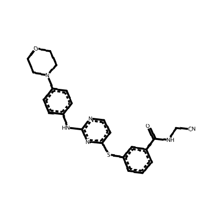 N#CCNC(=O)c1cccc(Sc2ccnc(Nc3ccc(N4CCOCC4)cc3)n2)c1